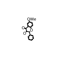 COc1ccc2c(c1)C(=O)C(=O)C(c1ccccc1)O2